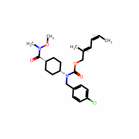 C/C=C\C=C(/C)COC(=O)N(Cc1ccc(Cl)cc1)[C@H]1CC[C@@H](C(=O)N(C)OC)CC1